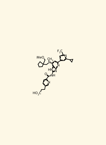 COCC1(CN(C)c2cc(-c3cc(C4CC4)nc(C(F)(F)F)c3)nc3nc(NC(=O)c4ccc(CCC(=O)O)cn4)[nH]c23)CCCC1